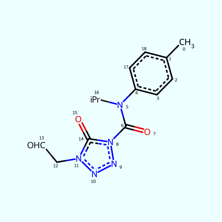 Cc1ccc(N(C(=O)n2nnn(CC=O)c2=O)C(C)C)cc1